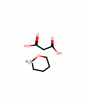 C1CC[SiH2]OC1.O=C(O)CC(=O)O